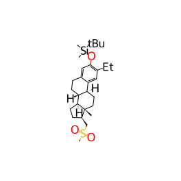 CCc1cc2c(cc1O[Si](C)(C)C(C)(C)C)CC[C@@H]1[C@@H]2CC[C@]2(C)[C@@H](CS(C)(=O)=O)CC[C@@H]12